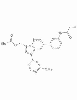 C=CC(=O)Nc1cccc(-c2cnc3c(c2)c(-c2ccnc(OC)c2)cn3COC(=O)C(C)(C)C)c1